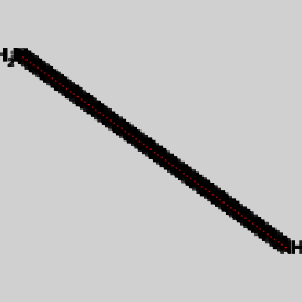 N=N/N=N/N=N/N=N/N=N/N=N/N=N/N=N/N=N/N=N/N=N/N=N/N=N/N=N/N=N/N=N/N=N/N=N/N=N/N=N/N=N/N=N/N=N/N=N/N=N/N=N/N=N/N=N/N=N/N=N/N=N/N=N/N=N/N=N/N=N/N=N/N=N/N=N/N=N/N=N/N=N/N=N/N=N/N=N/N=N/N=N/N=N/N=N/N=N/N=N/N=N/N=N/N=N/N=N/N=N/N=N/N=N/N=N/N=N/N=N/N=N/N=N/N=N/N=N/N=N/N=N/N=N/N=N/N=N/N=N/N=N/N=N/N=N/N